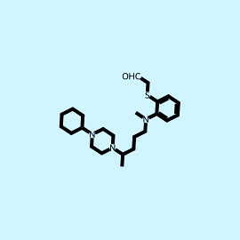 CC(CCCN(C)c1ccccc1SCC=O)N1CCN(C2CCCCC2)CC1